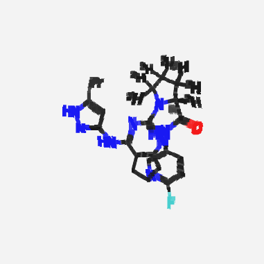 [2H]C1([2H])N(c2nc3c(c(Nc4cc(C(C)C)[nH]n4)n2)CCC3)[C@@]([2H])(C(=O)Nc2ccc(F)nc2)C([2H])([2H])C1([2H])[2H]